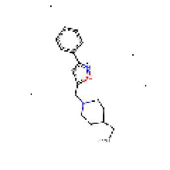 CC(=O)NCC1CCN(Cc2cc(-c3ccccc3)no2)CC1